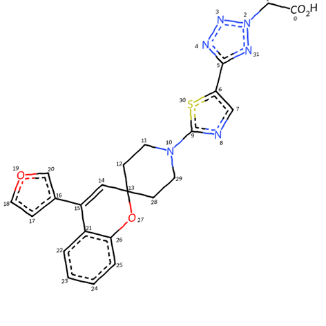 O=C(O)Cn1nnc(-c2cnc(N3CCC4(C=C(c5ccoc5)c5ccccc5O4)CC3)s2)n1